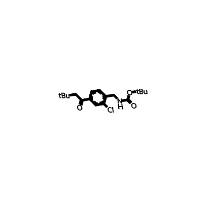 CC(C)(C)CC(=O)c1ccc(CNC(=O)OC(C)(C)C)c(Cl)c1